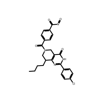 CCCCC1CN(C(=O)c2ccc(C(=O)N=O)cc2)Cc2c1nc(-c1ccc(Cl)cc1)[nH]c2=O